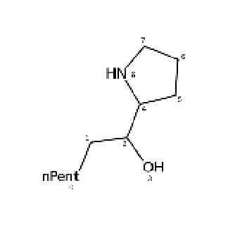 CCCCCCC(O)C1CCCN1